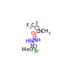 COc1nc(C(=N)NOCC(=O)c2cn(C)c3cc(F)c(C(F)(F)F)cc23)ccc1Br